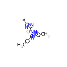 Cc1ccc(-c2cc(NC(=O)c3cnn4cc(C5CC5)cnc34)n(-c3ccc(C)cn3)n2)cc1